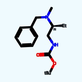 CC[C@@H](CNC(=O)OC(C)(C)C)N(C)Cc1ccccc1